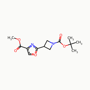 COC(=O)c1coc(C2CN(C(=O)OC(C)(C)C)C2)n1